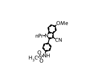 CCCn1c(-c2ccc(NS(C)(=O)=O)cc2)c(C#N)c2cc(OC)ccc21